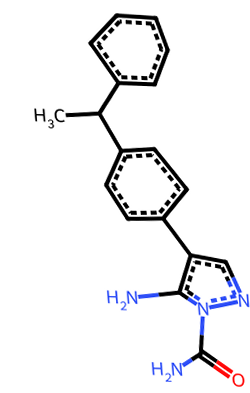 CC(c1ccccc1)c1ccc(-c2cnn(C(N)=O)c2N)cc1